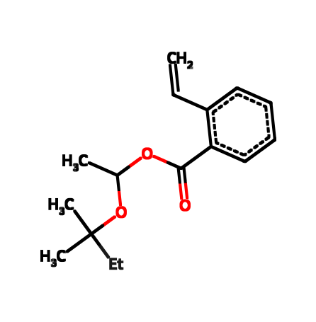 C=Cc1ccccc1C(=O)OC(C)OC(C)(C)CC